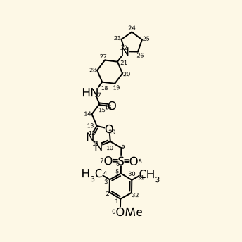 COc1cc(C)c(S(=O)(=O)Cc2nnc(CC(=O)NC3CCC(N4CCCC4)CC3)o2)c(C)c1